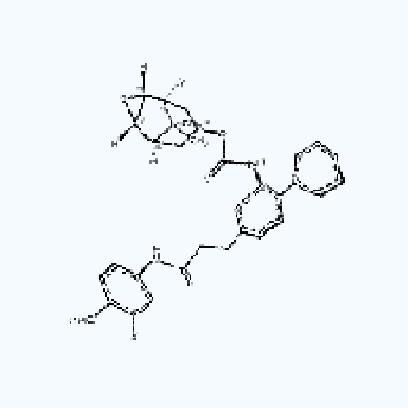 C[N+]1(C)[C@@H]2C[C@@H](OC(=O)Nc3cc(CCC(=O)Nc4ccc(C=O)c(Cl)c4)ccc3-c3ccccc3)C[C@H]1[C@@H]1O[C@@H]12